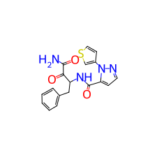 NC(=O)C(=O)C(Cc1ccccc1)NC(=O)c1ccnn1-c1ccsc1